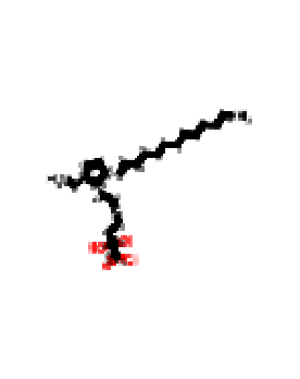 CCCCCCCCCCCC=C[C@H]1C=C[C@H](CC)[C@H]1CC=C=CCC(O)(O)C(=O)O